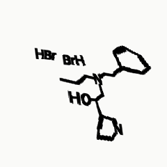 Br.Br.CCCN(CCc1ccccc1)CC(O)c1cccnc1